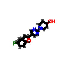 OC1CCN(c2ncc(-c3cc4cc(F)ccc4o3)cn2)CC1